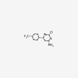 Nc1cc(-c2ccc(C(F)(F)F)cc2)nc(Cl)n1